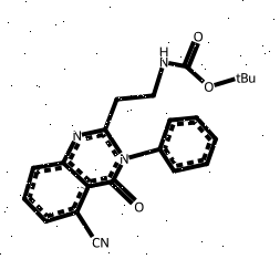 CC(C)(C)OC(=O)NCCc1nc2cccc(C#N)c2c(=O)n1-c1ccccc1